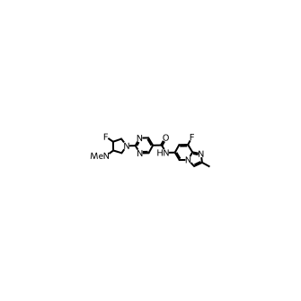 CNC1CN(c2ncc(C(=O)Nc3cc(F)c4nc(C)cn4c3)cn2)CC1F